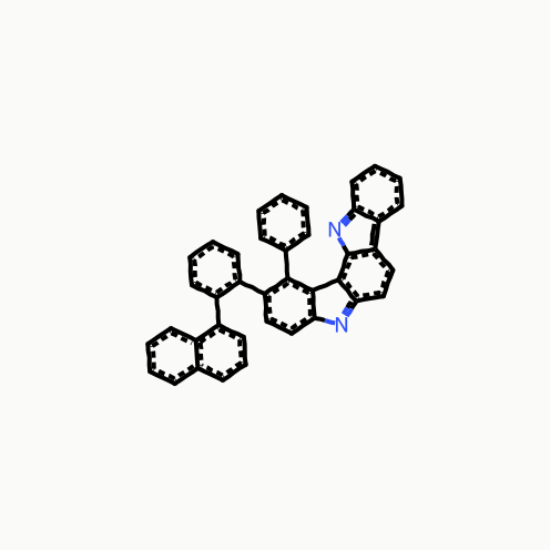 c1ccc(-c2c(-c3ccccc3-c3cccc4ccccc34)ccc3c2-c2c4c(ccc2=N3)=c2ccccc2=N4)cc1